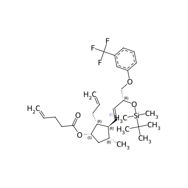 C=CCCC(=O)O[C@H]1C[C@@H](C)[C@H](/C=C/[C@H](COc2cccc(C(F)(F)F)c2)O[Si](C)(C)C(C)(C)C)[C@H]1CC=C